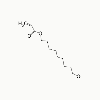 C=CC(=O)OCCCCCCCCC[O]